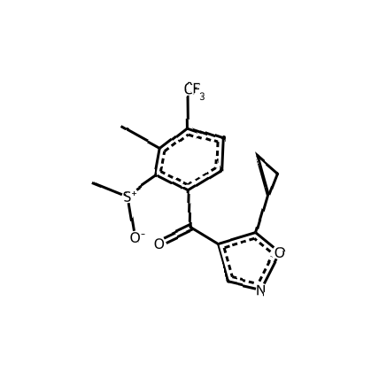 Cc1c(C(F)(F)F)ccc(C(=O)c2cnoc2C2CC2)c1[S+](C)[O-]